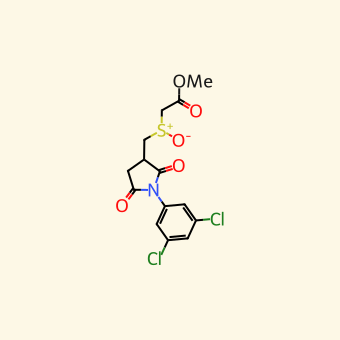 COC(=O)C[S+]([O-])CC1CC(=O)N(c2cc(Cl)cc(Cl)c2)C1=O